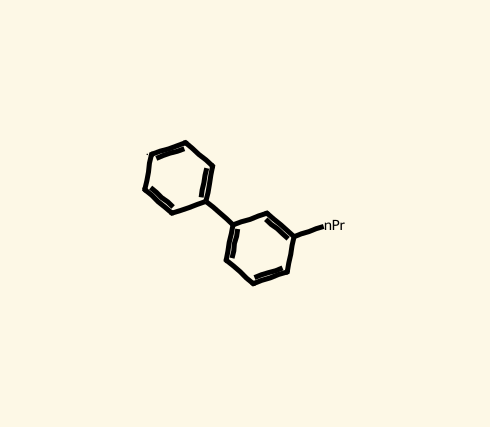 CCCc1cccc(-c2cc[c]cc2)c1